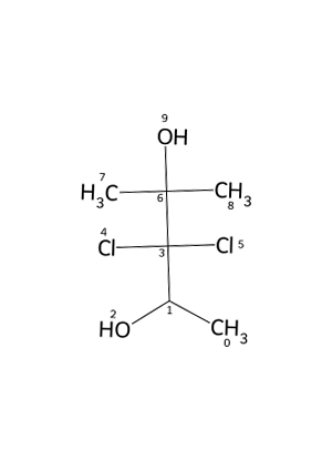 CC(O)C(Cl)(Cl)C(C)(C)O